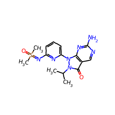 CC(C)n1c(=O)c2cnc(N)nc2n1-c1cccc(N=S(C)(C)=O)n1